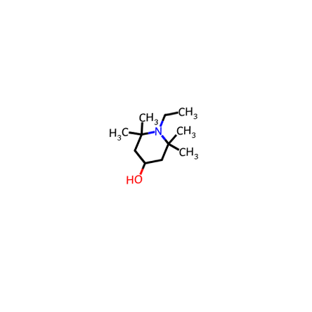 CCN1C(C)(C)CC(O)CC1(C)C